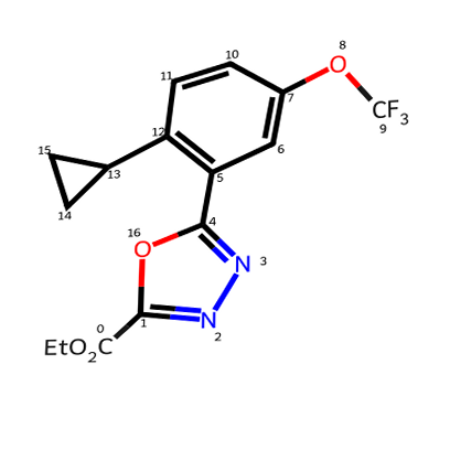 CCOC(=O)c1nnc(-c2cc(OC(F)(F)F)ccc2C2CC2)o1